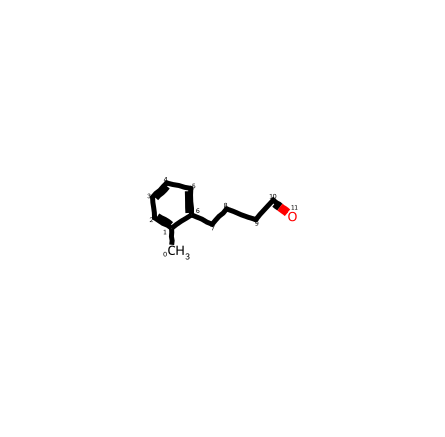 Cc1ccccc1CCCC=O